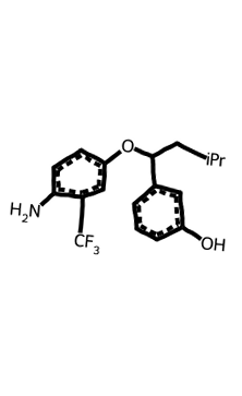 CC(C)CC(Oc1ccc(N)c(C(F)(F)F)c1)c1cccc(O)c1